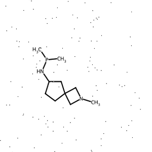 CN1CC2(CCC(NP(C)C)C2)C1